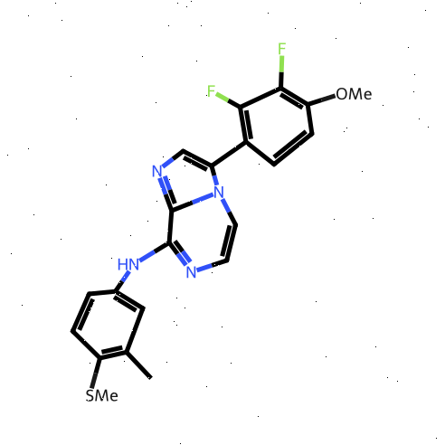 COc1ccc(-c2cnc3c(Nc4ccc(SC)c(C)c4)nccn23)c(F)c1F